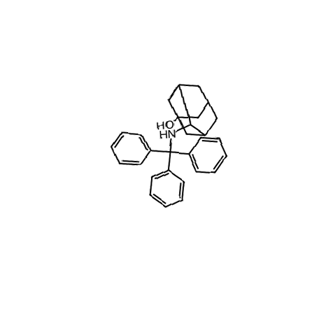 OC12CC3CC(C1)C(NC(c1ccccc1)(c1ccccc1)c1ccccc1)C(C3)C2